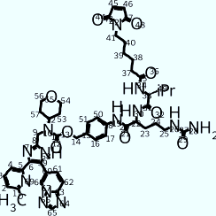 Cc1cccc(-c2nc(CN(C(=O)OCc3ccc(NC(=O)C(CCCNC(N)=O)NC(=O)[C@@H](NC(=O)CCCCCN4C(=O)C=CC4=O)C(C)C)cc3)C3CCOCC3)[nH]c2-c2ccc3ncnn3c2)n1